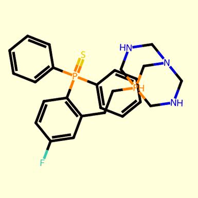 Fc1ccc(P(=S)(c2ccccc2)c2ccccc2)c(CC[PH]23CNCN(CNC2)C3)c1